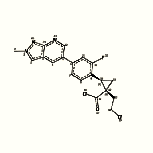 Cn1cc2cc(-c3ccc([C@H]4C[C@]4(CCCl)C(=O)Cl)c(F)c3)cnc2n1